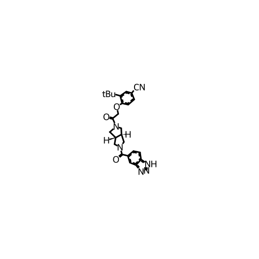 CC(C)(C)c1cc(C#N)ccc1OCC(=O)N1C[C@H]2CN(C(=O)c3ccc4[nH]nnc4c3)C[C@@H]2C1